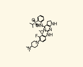 COc1c(Nc2nc3c(c(Nc4ccccc4S(=O)(=O)C(C)C)n2)CCN3)ccc(N2CCC(N(C)C)CC2)c1F